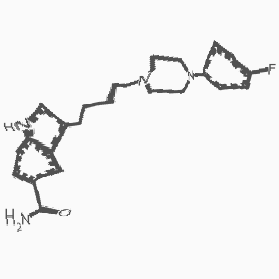 NC(=O)c1ccc2[nH]cc(CCCCN3CCN(c4ccc(F)cc4)CC3)c2c1